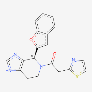 O=C(Cc1nccs1)N1CCc2[nH]cnc2[C@H]1c1cc2ccccc2o1